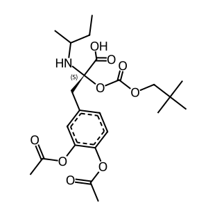 CCC(C)N[C@@](Cc1ccc(OC(C)=O)c(OC(C)=O)c1)(OC(=O)OCC(C)(C)C)C(=O)O